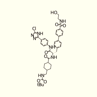 CC(C)(C)OC(=O)NCC1CCC(C(=O)N[C@@H](Cc2ccc(-c3ccc(S(=O)(=O)NCCO)cc3)cc2)C(=O)Nc2ccc(-c3nnc(Cl)[nH]3)cc2)CC1